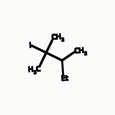 CCC(C)C(C)(C)I